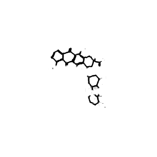 COc1cccc2c1C(=O)c1c(O)c3c(c(O)c1C2=O)CC(O)(C(N)=O)C[C@@H]3OC1C[C@@H](C)[C@H]2O[C@@H]3[C@@H](OC)CCCN3[C@H]2C1